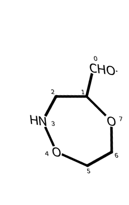 O=[C]C1CNOCCO1